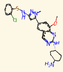 COc1cc(-c2cc(NSc3ccccc3Cl)nn2C)cc2cnc(N[C@H]3CC[C@H](N)CC3)nc12